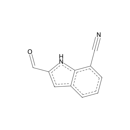 N#Cc1cccc2cc(C=O)[nH]c12